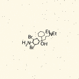 CCN(CC)CCCC(O)(c1cc(Br)c(N)c(Br)c1)C1CCCCC1